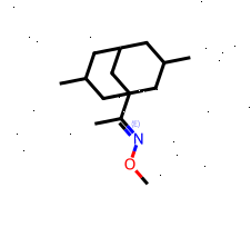 CO/N=C(\C)C12CC(C)CC(CC(C)C1)C2